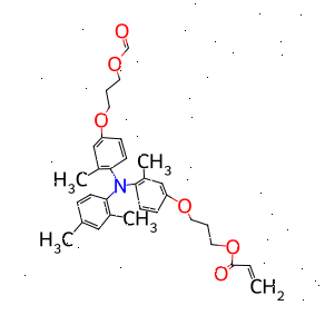 C=CC(=O)OCCCOc1ccc(N(c2ccc(C)cc2C)c2ccc(OCCCOC=O)cc2C)c(C)c1